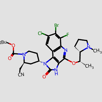 C[C@H](Oc1nc2c(F)c(Br)c(Cl)cc2c2c1[nH]c(=O)n2[C@H]1CCN(C(=O)OC(C)(C)C)[C@H](CC#N)C1)[C@@H]1CCCN1C